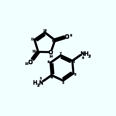 Nc1ccc(N)cc1.O=C1C=CC(=O)O1